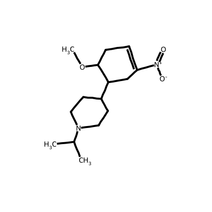 COC1CC=C([N+](=O)[O-])CC1C1CCN(C(C)C)CC1